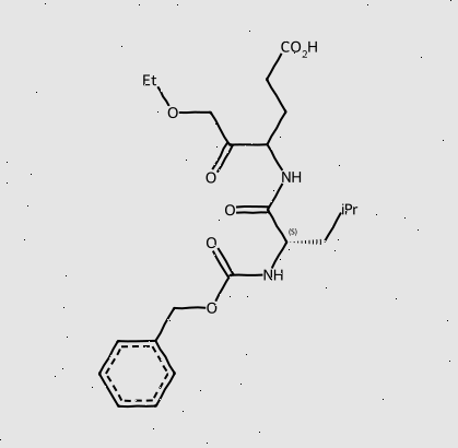 CCOCC(=O)C(CCC(=O)O)NC(=O)[C@H](CC(C)C)NC(=O)OCc1ccccc1